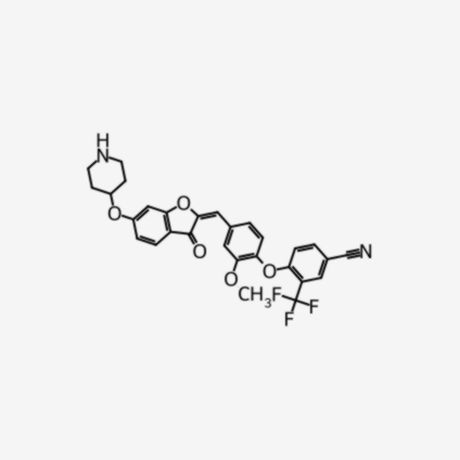 COc1cc(C=C2Oc3cc(OC4CCNCC4)ccc3C2=O)ccc1Oc1ccc(C#N)cc1C(F)(F)F